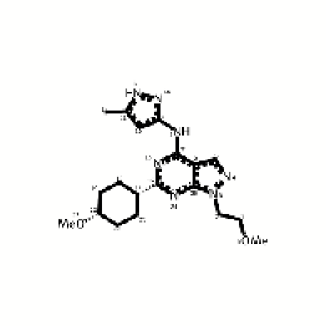 COCCn1ncc2c(Nc3cc(C)[nH]n3)nc([C@H]3CC[C@@H](OC)CC3)nc21